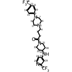 O=C(CCCN1CCN(c2ccc(C(F)(F)F)cc2)CC1)N1CCC(Nc2ccnc(C(F)(F)F)c2)CC1